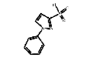 O=S(=O)(Cl)c1ccn(-c2ccccc2)n1